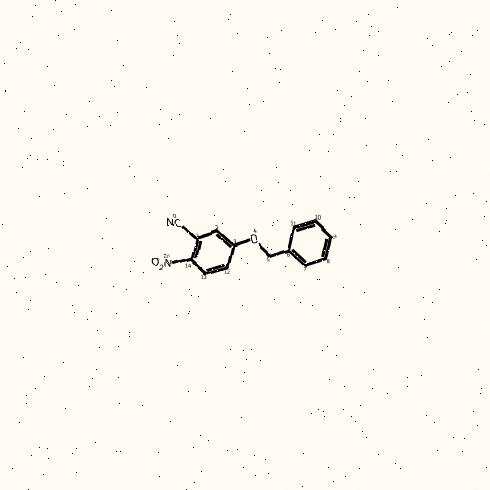 N#Cc1cc(OCc2ccccc2)ccc1[N+](=O)[O-]